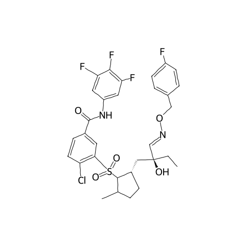 CC[C@@](O)(/C=N/OCc1ccc(F)cc1)C[C@@H]1CCC(C)C1S(=O)(=O)c1cc(C(=O)Nc2cc(F)c(F)c(F)c2)ccc1Cl